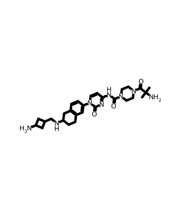 CC(C)(N)C(=O)N1CCN(C(=O)Nc2ccn(-c3ccc4c(c3)CCC(NCC3CC(N)C3)C4)c(=O)n2)CC1